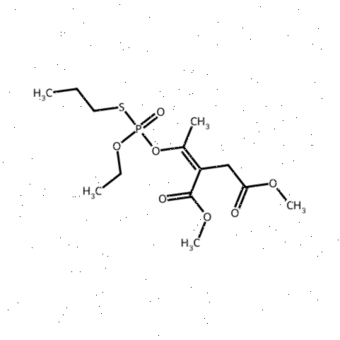 CCCSP(=O)(OCC)OC(C)=C(CC(=O)OC)C(=O)OC